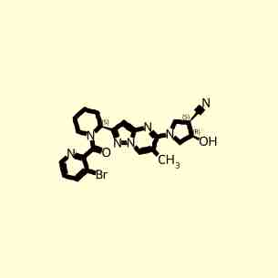 Cc1cn2nc([C@@H]3CCCCN3C(=O)c3ncccc3Br)cc2nc1N1C[C@@H](C#N)[C@@H](O)C1